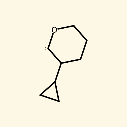 [C]1OCCCC1C1CC1